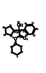 O=C(OC1CCCCC1)[C@@](O)(c1ccccc1)C1CCCC1